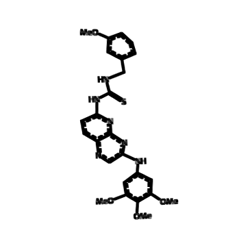 COc1cccc(CNC(=S)Nc2ccc3ncc(Nc4cc(OC)c(OC)c(OC)c4)nc3n2)c1